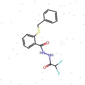 O=C(NNC(=O)C(F)F)c1ccccc1SCc1ccccc1